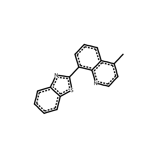 Cc1ccnc2c(-c3nc4ccccc4s3)cccc12